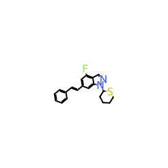 Fc1cc(C=Cc2ccccc2)cc2c1cnn2C1CCCCS1